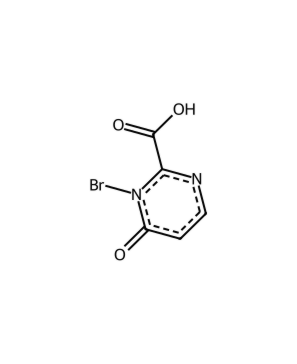 O=C(O)c1nccc(=O)n1Br